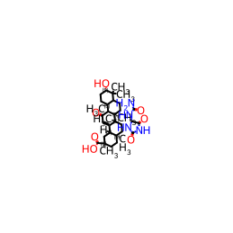 CC1(C)C2CC[C@]3(C)C(C(=O)C=C4[C@H]5C[C@@](C)(C(=O)O)CC[C@]5(C)CC[C@]43C)[C@@]2(C)CC[C@@H]1O.NC(=O)NC1NC(=O)NC1=O